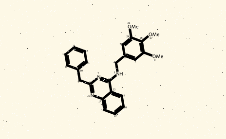 COc1cc(CNc2nc(Cc3ccccc3)nc3ccccc23)cc(OC)c1OC